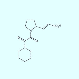 O=C(O)/C=C/C1CCCN1C(=O)C(=O)C1CCCCC1